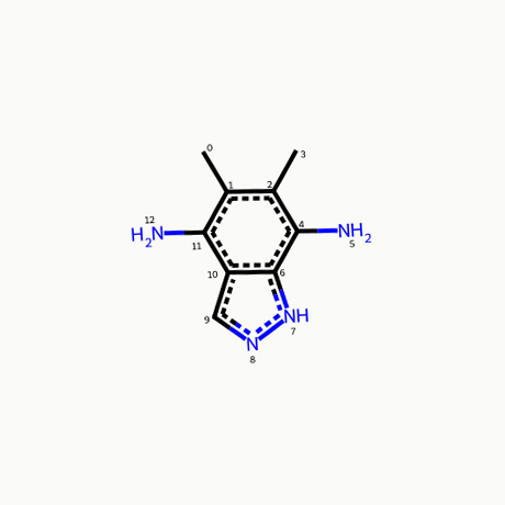 Cc1c(C)c(N)c2[nH]ncc2c1N